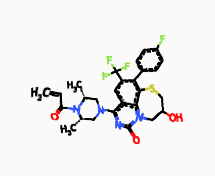 C=CC(=O)N1[C@H](C)CN(c2nc(=O)n3c4c(c(-c5ccc(F)cc5)c(C(F)(F)F)cc24)SCC(O)C3)C[C@@H]1C